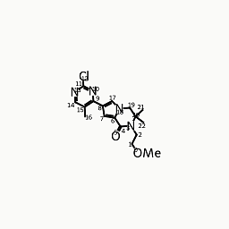 COCCN1C(=O)c2cc(-c3nc(Cl)ncc3C)cn2CC1(C)C